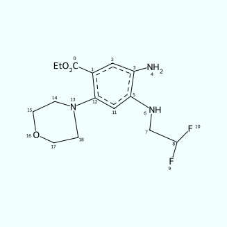 CCOC(=O)c1cc(N)c(NCC(F)F)cc1N1CCOCC1